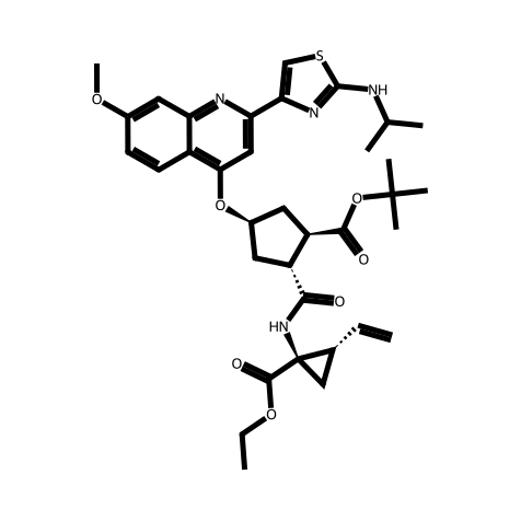 C=C[C@@H]1C[C@]1(NC(=O)[C@@H]1C[C@@H](Oc2cc(-c3csc(NC(C)C)n3)nc3cc(OC)ccc23)C[C@H]1C(=O)OC(C)(C)C)C(=O)OCC